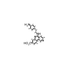 Nc1ccc(CCNc2nc3cc(C(=O)O)ccc3c3cnccc23)cc1